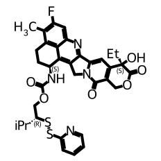 CC[C@@]1(O)C(=O)OCc2c1cc1n(c2=O)Cc2c-1nc1cc(F)c(C)c3c1c2[C@@H](NC(=O)OC[C@H](SSc1ccccn1)C(C)C)CC3